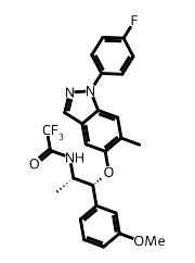 COc1cccc([C@@H](Oc2cc3cnn(-c4ccc(F)cc4)c3cc2C)[C@H](C)NC(=O)C(F)(F)F)c1